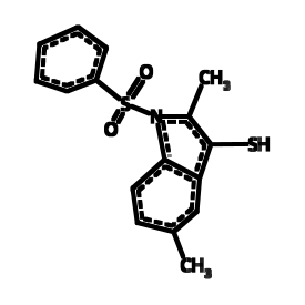 Cc1ccc2c(c1)c(S)c(C)n2S(=O)(=O)c1ccccc1